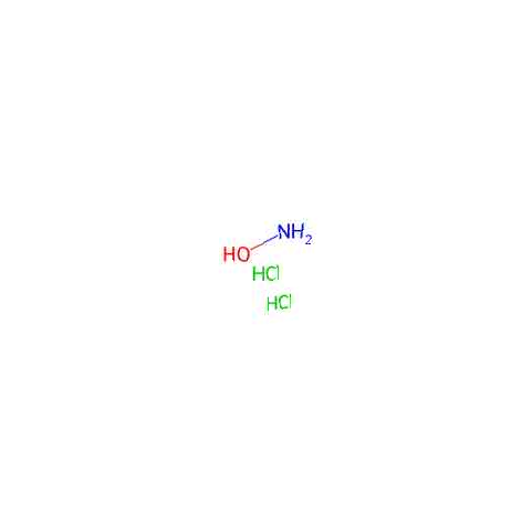 Cl.Cl.NO